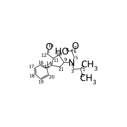 CC(C)CN(CC(=O)O)C1CC(C=O)C(c2ccccc2)C1